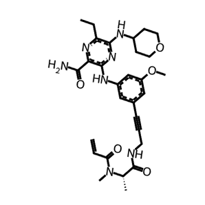 C=CC(=O)N(C)[C@@H](C)C(=O)NCC#Cc1cc(Nc2nc(NC3CCOCC3)c(CC)nc2C(N)=O)cc(OC)c1